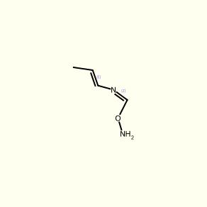 C/C=C/N=C\ON